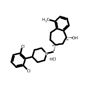 Cc1cccc2c1CC[C@@H](CN1CCC(c3c(Cl)cccc3Cl)CC1)C[C@H]2O.Cl